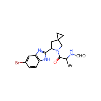 CC(C)C(NC=O)C(=O)N1CC2(CC2)CC1c1nc2cc(Br)ccc2[nH]1